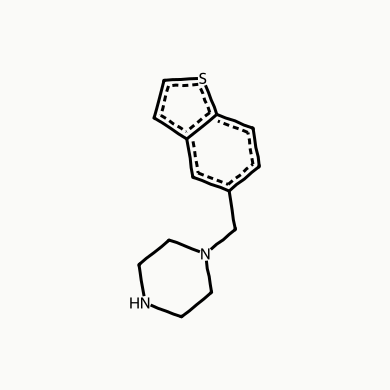 c1cc2cc(CN3CCNCC3)ccc2s1